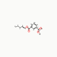 CCCC=COC(=O)c1cccc(C(=O)OC)c1